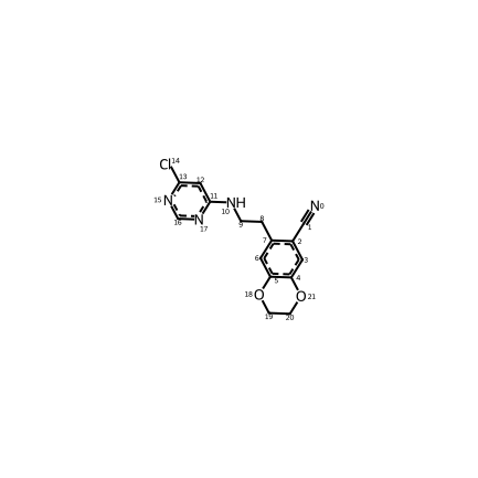 N#Cc1cc2c(cc1CCNc1cc(Cl)ncn1)OCCO2